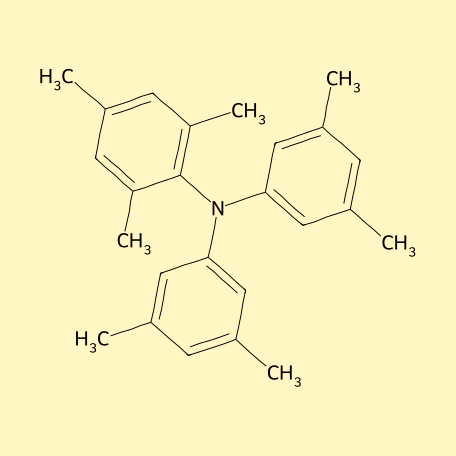 Cc1cc(C)cc(N(c2cc(C)cc(C)c2)c2c(C)cc(C)cc2C)c1